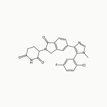 Cn1cnc(-c2ccc3c(c2)CN(C2CCC(=O)NC2=O)C3=O)c1-c1cc(F)ccc1Cl